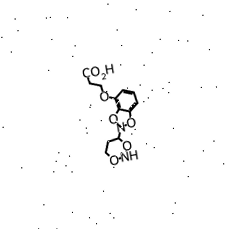 O=C(O)CCOc1cccc2c1ON(C1CCONO1)O2